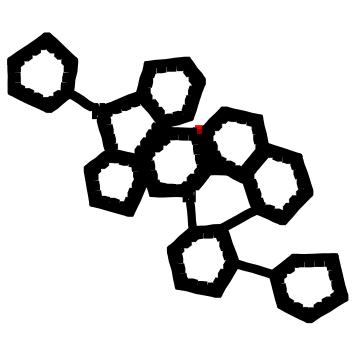 c1ccc(-c2ccccc2-c2c(-c3ccccc3)cccc2N(c2ccccc2)c2cccc3c2c2ccccc2n3-c2ccccc2)cc1